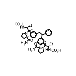 CC[C@H](NC(=O)O)C(=O)N1CCC[C@@]1(C(N)=O)c1ccc(CC(c2ccccc2)c2ccc([C@]3(C(N)=O)CCCN3C(=O)[C@H](CC)NC(=O)O)cc2)cc1